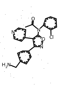 CC(=O)N(c1ccccc1Cl)c1onc(-c2ccc(CN)cc2)c1-c1ccncc1